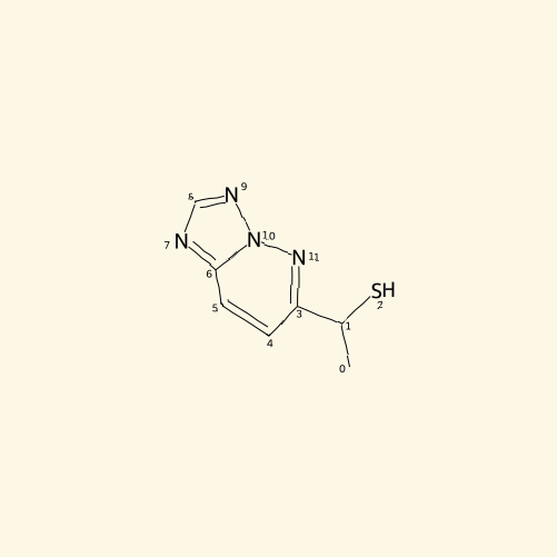 CC(S)c1ccc2ncnn2n1